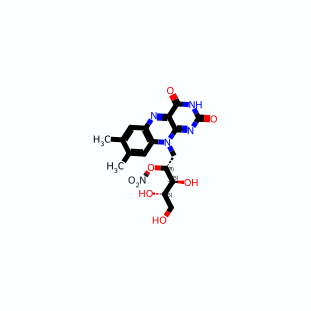 Cc1cc2nc3c(=O)[nH]c(=O)nc-3n(C[C@@H](O[N+](=O)[O-])[C@@H](O)[C@@H](O)CO)c2cc1C